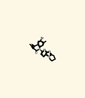 CC#CC(=O)N(c1ccc2c(n1)nc1n2CCCC1)c1cc(C)c(Br)cc1C1CC1